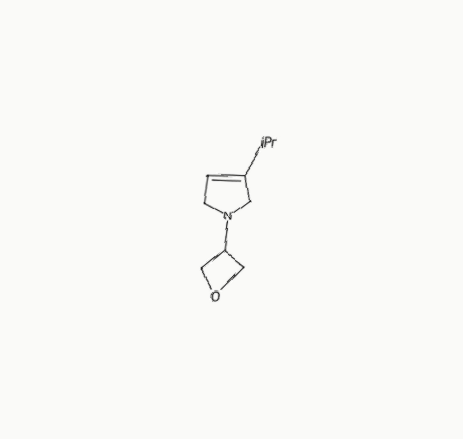 CC(C)C1=CCN(C2COC2)C1